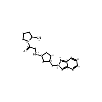 N#C[C@@H]1CCCN1C(=O)CN[C@H]1CC[C@@H](Cn2cc3ccccc3n2)C1